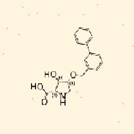 O=C(O)[C@H]1NC[C@@H](OCc2cccc(-c3ccccc3)c2)[C@@H]1O